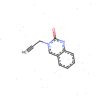 C#CCn1cc2ccccc2nc1=O